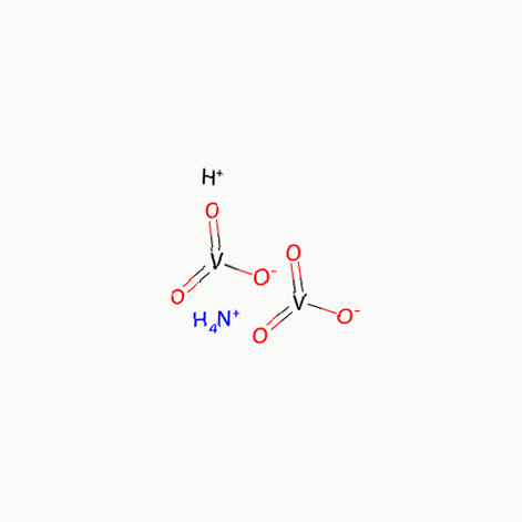 [H+].[NH4+].[O]=[V](=[O])[O-].[O]=[V](=[O])[O-]